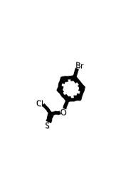 S=C(Cl)Oc1ccc(Br)cc1